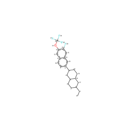 CCC1CCC2CC(c3ccc4cc(OC(F)(F)F)c(F)cc4c3)CCC2C1